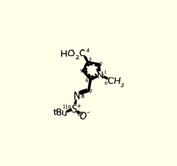 Cn1cc(C(=O)O)cc1C=N[S+]([O-])C(C)(C)C